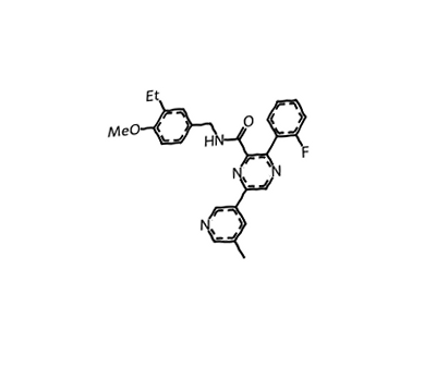 CCc1cc(CNC(=O)c2nc(-c3cncc(C)c3)cnc2-c2ccccc2F)ccc1OC